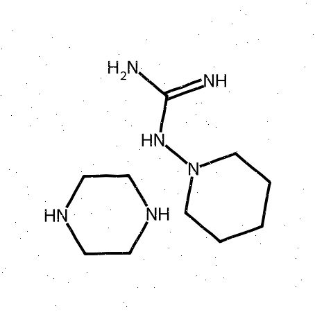 C1CNCCN1.N=C(N)NN1CCCCC1